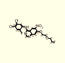 O=[N+]([O-])c1cc2c(Nc3cc(Cl)c(Cl)cc3F)ncnc2cc1OCCOCCF